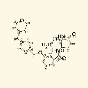 BC1c2c(OCc3ccc(CN4CCOCC4)cc3)cccc2C(=O)N1C1CCC(=O)NC1=O